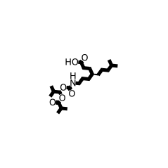 CC(C)CCC[C@@H](CCCNC(=O)O[C@H](OC(=O)C(C)C)C(C)C)CCC(=O)O